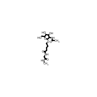 CNC(=O)CNC(=O)CCCCO[C@@H]1OC(CO)[C@H](O)C(O)C1NC(C)=O